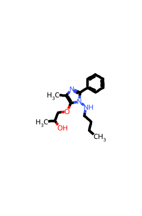 CCCCNn1c(-c2ccccc2)nc(C)c1OCC(C)O